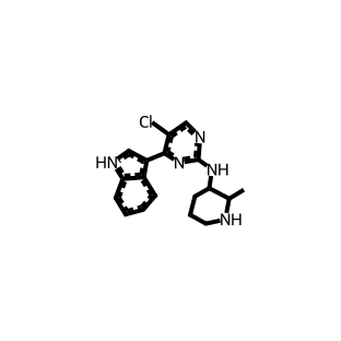 CC1NCCCC1Nc1ncc(Cl)c(-c2c[nH]c3ccccc23)n1